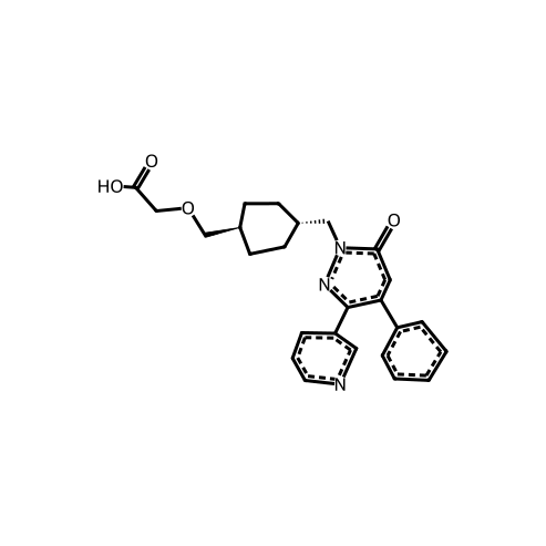 O=C(O)COC[C@H]1CC[C@H](Cn2nc(-c3cccnc3)c(-c3ccccc3)cc2=O)CC1